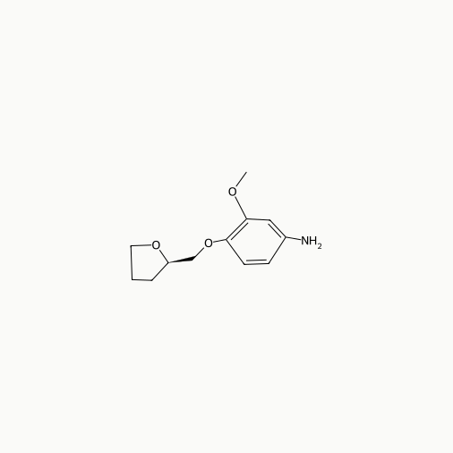 COc1cc(N)ccc1OC[C@H]1CCCO1